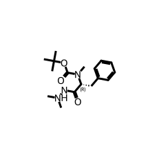 CN(C)NC(=O)[C@@H](Cc1ccccc1)N(C)C(=O)OC(C)(C)C